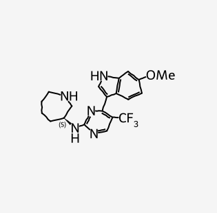 COc1ccc2c(-c3nc(N[C@H]4CCCCNC4)ncc3C(F)(F)F)c[nH]c2c1